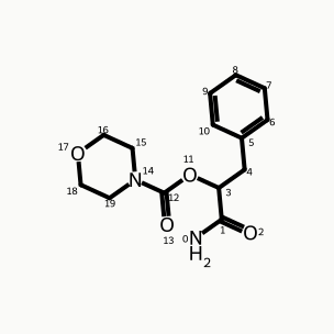 NC(=O)C(Cc1ccccc1)OC(=O)N1CCOCC1